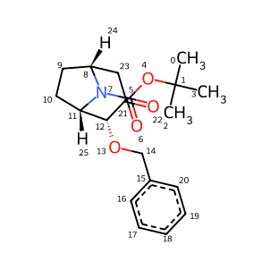 CC(C)(C)OC(=O)N1[C@@H]2CC[C@H]1[C@@H](OCc1ccccc1)C(=O)C2